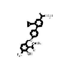 CC(C(=O)O)c1ccc(-c2ccc(OCc3ccc(C(F)(F)F)c(O)c3C(=O)OC(C)(C)C)cc2)c(C2CC2)c1